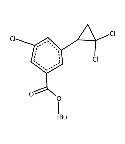 CC(C)(C)OC(=O)c1cc(Cl)cc(C2CC2(Cl)Cl)c1